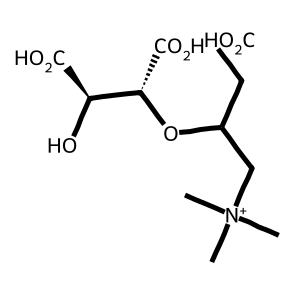 C[N+](C)(C)CC(CC(=O)O)O[C@@H](C(=O)O)[C@@H](O)C(=O)O